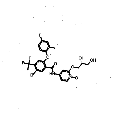 Cc1cc(F)ccc1Oc1cc(C(F)(F)F)c(Cl)cc1C(=O)Nc1cc[n+]([O-])c(OC[C@H](O)CO)c1